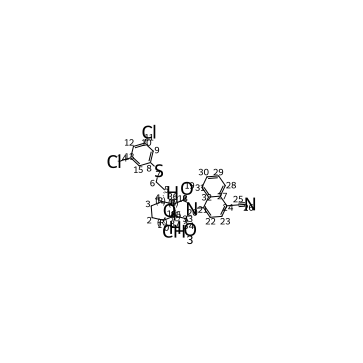 C[C@]12CC[C@](CCSc3cc(Cl)cc(Cl)c3)(O1)[C@@H]1C(=O)N(c3ccc(C#N)c4ccccc34)C(=O)[C@@H]12